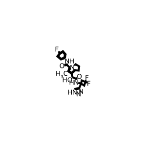 Cc1c(C(O)C(=O)NC2(c3c[nH]nn3)CC(F)(F)C2)c2n(c1C(=O)Nc1ccc(F)cc1)CCC2